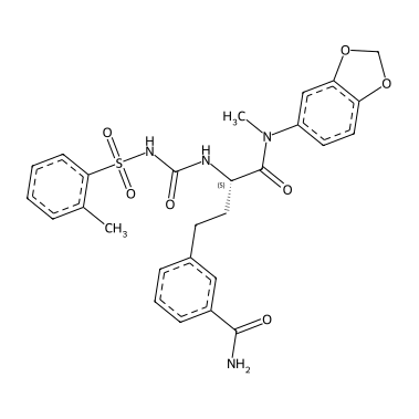 Cc1ccccc1S(=O)(=O)NC(=O)N[C@@H](CCc1cccc(C(N)=O)c1)C(=O)N(C)c1ccc2c(c1)OCO2